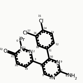 CC(C)n1nc(-c2cnc(N)nc2-c2ccc(Cl)c(Cl)c2)ccc1=O